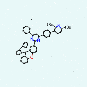 CC(C)(C)c1ccc(-c2ccc(-c3cc(-c4ccccc4)nc(-c4ccc5c(c4)C4(c6ccccc6O5)c5ccccc5-c5ccccc54)n3)cc2)c(C(C)(C)C)n1